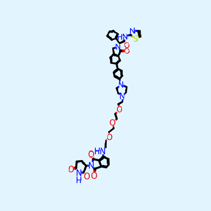 O=C1CCC(N2C(=O)c3cccc(NCCOCCOCCOCCN4CCN(c5ccc(-c6ccc7c(c6)C(=O)N(C(C(=O)Nc6nccs6)c6ccccc6)C7)cc5)CC4)c3C2=O)C(=O)N1